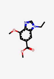 CCn1cnc2c(OC)cc(C(=O)OC)cc21